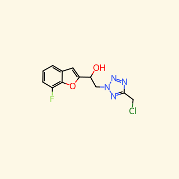 OC(Cn1nnc(CCl)n1)c1cc2cccc(F)c2o1